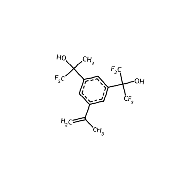 C=C(C)c1cc(C(C)(O)C(F)(F)F)cc(C(O)(C(F)(F)F)C(F)(F)F)c1